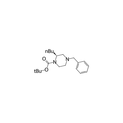 CCCC[C@H]1CN(Cc2ccccc2)CCN1C(=O)OC(C)(C)C